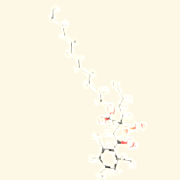 CCCCCCCCCCCCOC(=O)C(CCCC)(CC(=O)c1c(C)cc(C)cc1C)P=O